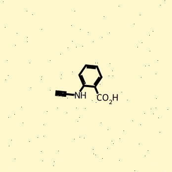 C#CNc1ccccc1C(=O)O